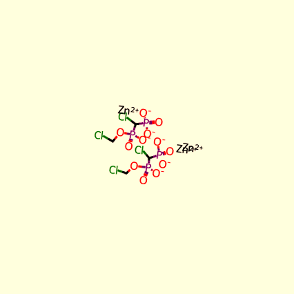 O=P([O-])([O-])C(Cl)P(=O)([O-])OCCl.O=P([O-])([O-])C(Cl)P(=O)([O-])OCCl.[Zn+2].[Zn+2].[Zn+2]